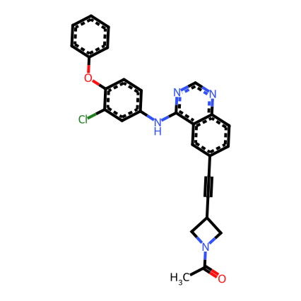 CC(=O)N1CC(C#Cc2ccc3ncnc(Nc4ccc(Oc5ccccc5)c(Cl)c4)c3c2)C1